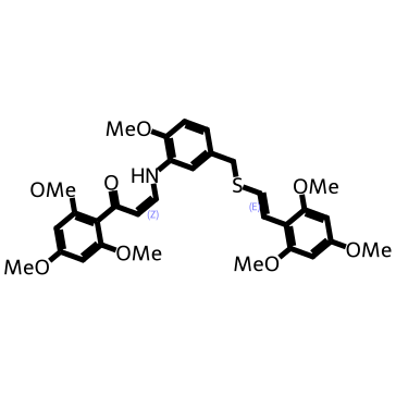 COc1cc(OC)c(/C=C/SCc2ccc(OC)c(N/C=C\C(=O)c3c(OC)cc(OC)cc3OC)c2)c(OC)c1